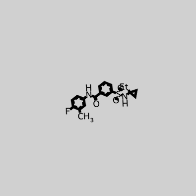 CCC1(NS(=O)(=O)c2cccc(C(=O)Nc3ccc(F)c(C)c3)c2)CC1